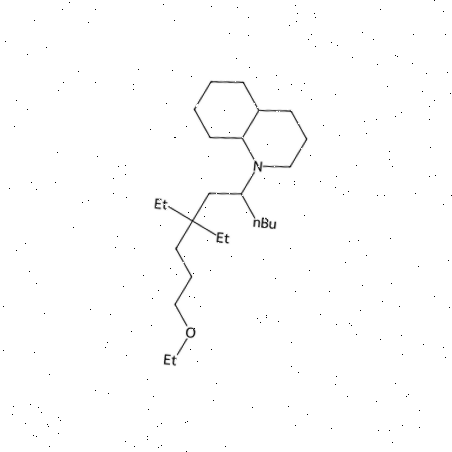 CCCCC(CC(CC)(CC)CCCOCC)N1CCCC2CCCCC21